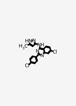 Cc1cc(Nc2nc(-c3ccc(Cl)cc3)nc3cc(Cl)ccc23)n[nH]1